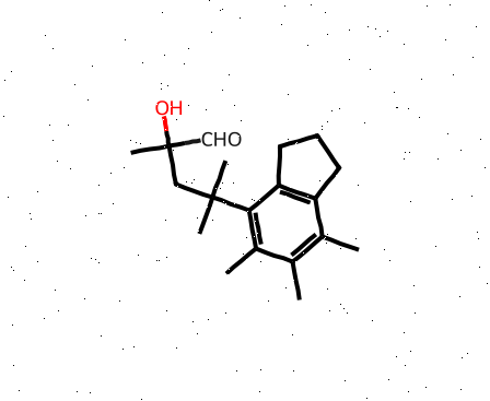 Cc1c(C)c2c(c(C(C)(C)CC(C)(O)C=O)c1C)CCC2